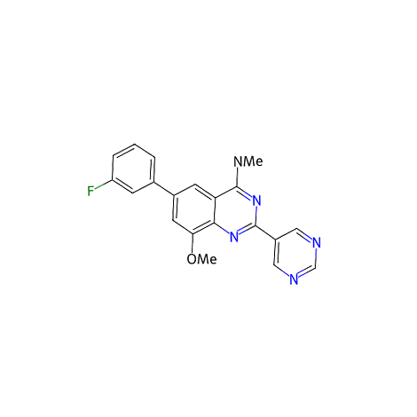 CNc1nc(-c2cncnc2)nc2c(OC)cc(-c3cccc(F)c3)cc12